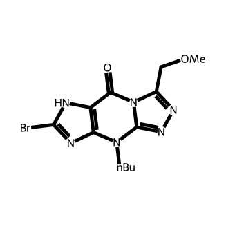 CCCCn1c2nc(Br)[nH]c2c(=O)n2c(COC)nnc12